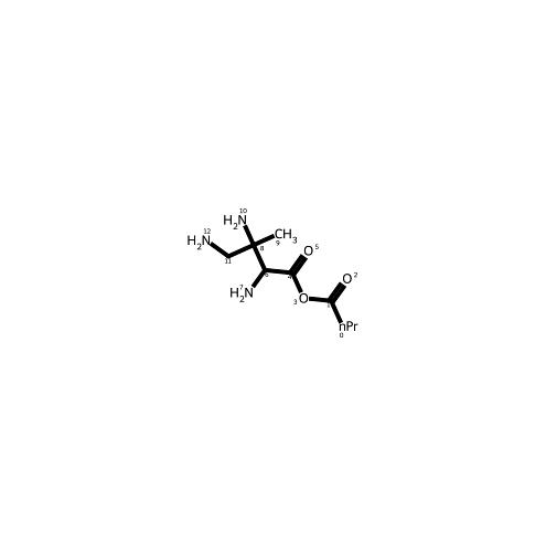 CCCC(=O)OC(=O)C(N)C(C)(N)CN